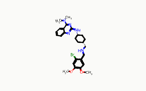 COc1cc(Br)c(CNC[C@H]2CC[C@@H](Nc3nc(N(C)C)c4ccccc4n3)CC2)cc1OC